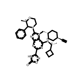 C#C[C@H]1CC[C@H](Cn2c(N3CCO[C@H](C)C3c3ccccc3)nc3nc(-c4noc(=O)[nH]4)nc(N[C@H](C)C4CCC4)c32)CC1